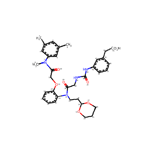 Cc1cc(C)cc(N(C)C(=O)COc2ccccc2N(CCC2OCCCO2)C(=O)CNC(=O)Nc2cccc(CC(=O)O)c2)c1